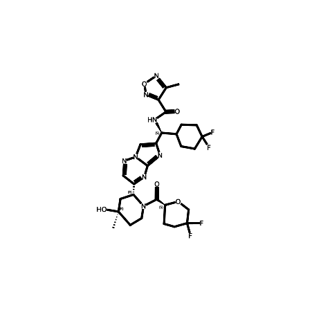 Cc1nonc1C(=O)N[C@H](c1cn2ncc([C@H]3C[C@](C)(O)CCN3C(=O)[C@@H]3CCC(F)(F)CO3)nc2n1)C1CCC(F)(F)CC1